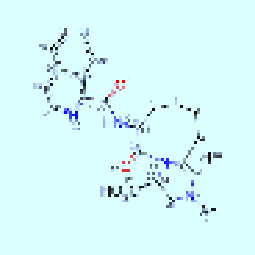 CC(=O)N1C[C@@H]2CCCC[C@H](NC(=O)c3nccc4ccccc34)C(=O)N2[C@H](C(=O)O)C1